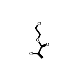 C=C(Cl)C(=O)OCCCl